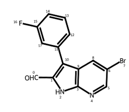 O=Cc1[nH]c2ncc(Br)cc2c1-c1cccc(F)c1